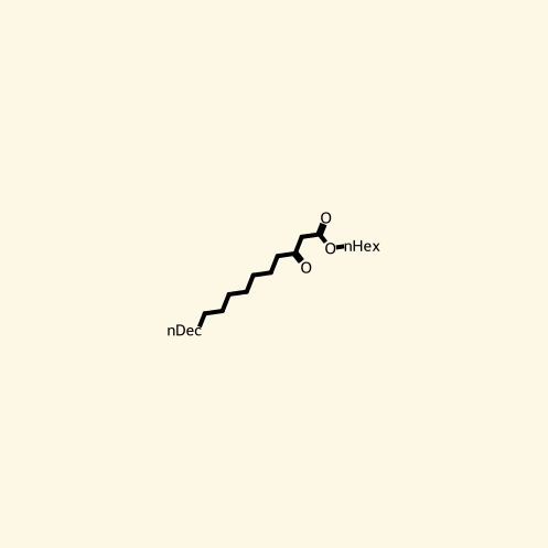 CCCCCCCCCCCCCCCCCC(=O)CC(=O)OCCCCCC